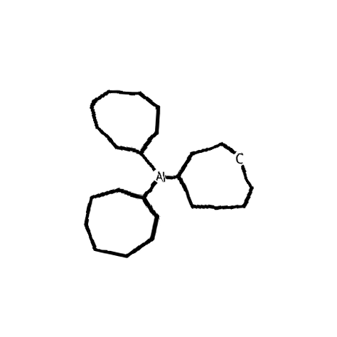 C1CCC[CH]([Al]([CH]2CCCCCCC2)[CH]2CCCCCCC2)CCC1